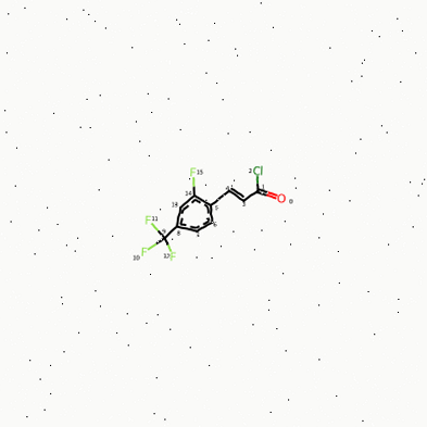 O=C(Cl)C=Cc1ccc(C(F)(F)F)cc1F